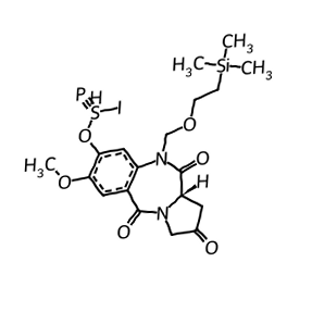 COc1cc2c(cc1O[SH](#P)I)N(COCC[Si](C)(C)C)C(=O)[C@@H]1CC(=O)CN1C2=O